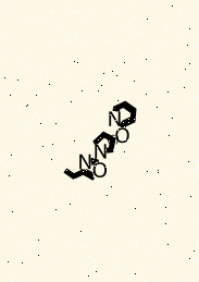 CCc1coc(N2CC[C@H](Oc3ccccn3)C2)n1